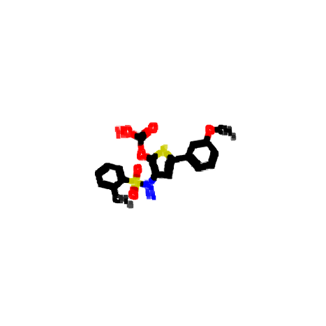 COc1cccc(-c2cc(NS(=O)(=O)c3ccccc3C)c(OC(=O)O)s2)c1